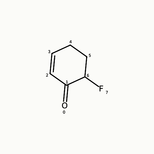 O=C1C=CCCC1F